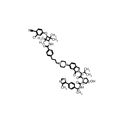 Cc1ncsc1-c1ccc([C@H](C)NC(=O)[C@@H]2C[C@@H](O)CN2C(=O)[C@H](C(C)C)N2Cc3ccc(N4CCN(CCCc5ccc(C(=O)N[C@H]6C(C)(C)[C@H](Oc7ccc(C#N)c(Cl)c7)C6(C)C)cc5)CC4)cc3C2=O)cc1